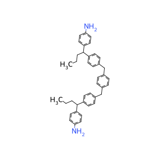 CCCC(c1ccc(N)cc1)c1ccc(Cc2ccc(Cc3ccc(C(CCC)c4ccc(N)cc4)cc3)cc2)cc1